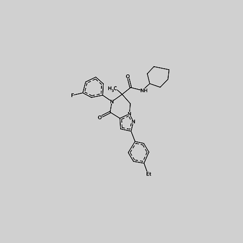 CCc1ccc(-c2cc3n(n2)CC(C)(C(=O)NC2CCCCC2)N(c2cccc(F)c2)C3=O)cc1